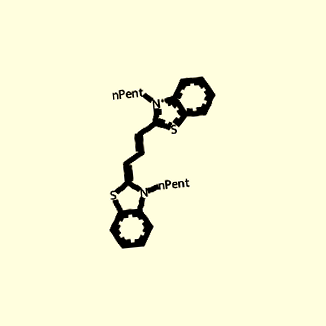 CCCCCN1C(=CC=Cc2sc3ccccc3[n+]2CCCCC)Sc2ccccc21